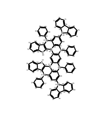 c1ccc(N2c3cc4c(cc3B3c5sc6ccccc6c5N(c5ccccc5)c5cc(-n6c7ccccc7c7ccccc76)cc2c53)B2c3sc5ccccc5c3N(c3ccccc3)c3cc(-n5c6ccccc6c6ccccc65)cc(c32)N4c2ccccc2)cc1